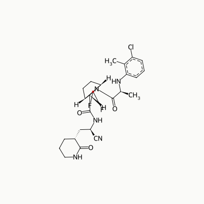 Cc1c(Cl)cccc1N[C@@H](C)C(=O)N1[C@H]2CC[C@@H]([C@H]1C(=O)N[C@@H](C#N)C[C@H]1CCCNC1=O)C(F)(F)C2